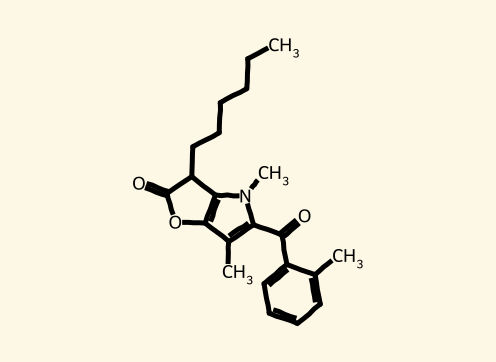 CCCCCCC1C(=O)Oc2c(C)c(C(=O)c3ccccc3C)n(C)c21